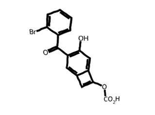 O=C(O)OC1=Cc2cc(C(=O)c3ccccc3Br)c(O)cc21